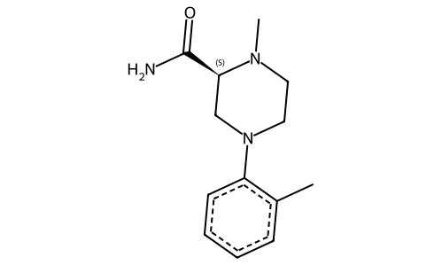 Cc1ccccc1N1CCN(C)[C@H](C(N)=O)C1